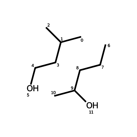 CC(C)CCO.CCCC(C)O